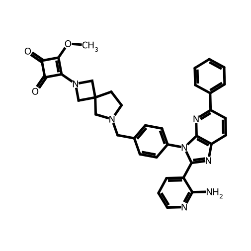 COc1c(N2CC3(CCN(Cc4ccc(-n5c(-c6cccnc6N)nc6ccc(-c7ccccc7)nc65)cc4)C3)C2)c(=O)c1=O